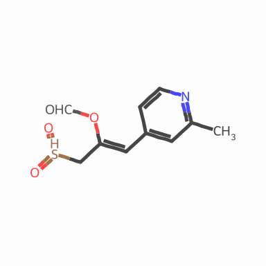 Cc1cc(/C=C(/C[SH](=O)=O)OC=O)ccn1